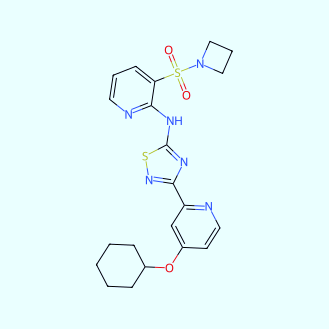 O=S(=O)(c1cccnc1Nc1nc(-c2cc(OC3CCCCC3)ccn2)ns1)N1CCC1